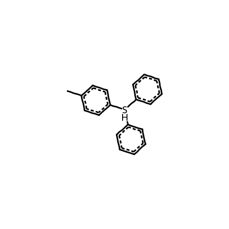 Cc1ccc([SH](c2ccccc2)c2ccccc2)cc1